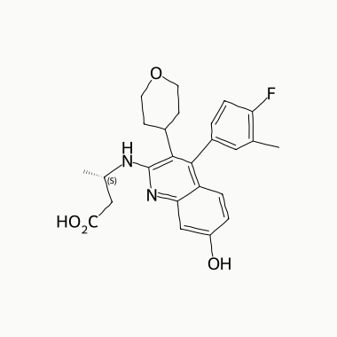 Cc1cc(-c2c(C3CCOCC3)c(N[C@@H](C)CC(=O)O)nc3cc(O)ccc23)ccc1F